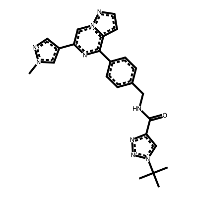 Cn1cc(-c2cn3nccc3c(-c3ccc(CNC(=O)c4cn(C(C)(C)C)nn4)cc3)n2)cn1